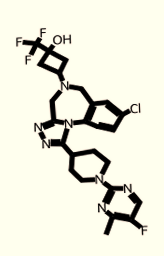 Cc1nc(N2CCC(c3nnc4n3-c3ccc(Cl)cc3CN(C3CC(O)(C(F)(F)F)C3)C4)CC2)ncc1F